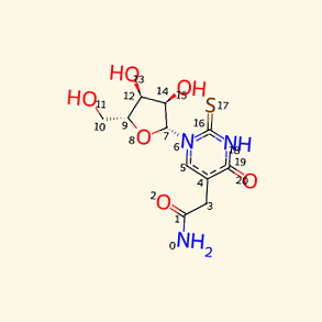 NC(=O)Cc1cn([C@@H]2O[C@H](CO)[C@@H](O)[C@H]2O)c(=S)[nH]c1=O